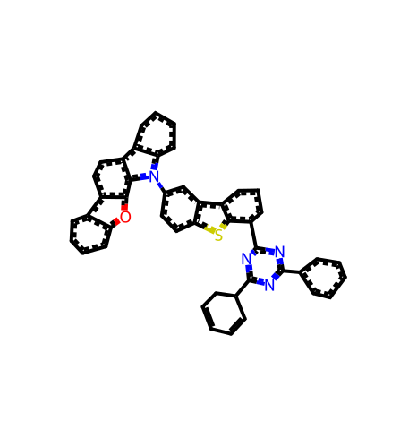 C1=CCC(c2nc(-c3ccccc3)nc(-c3cccc4c3sc3ccc(-n5c6ccccc6c6ccc7c8ccccc8oc7c65)cc34)n2)C=C1